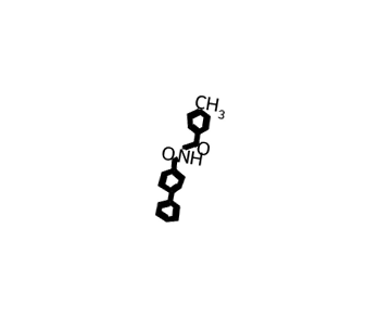 Cc1ccc(C(=O)CNC(=O)c2ccc(-c3ccccc3)cc2)cc1